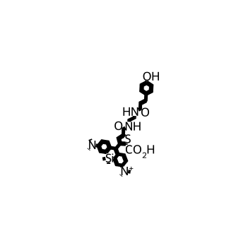 CN(C)c1ccc2c(c1)[Si](C)(C)C1=CC(=[N+](C)C)C=CC1=C2c1cc(C(=O)NCCNC(=O)/C=C/c2ccc(O)cc2)sc1C(=O)O